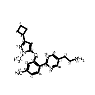 Cn1nc(C2CCC2)cc1Oc1cc(C#N)ccc1-c1ncc(CCN)cn1